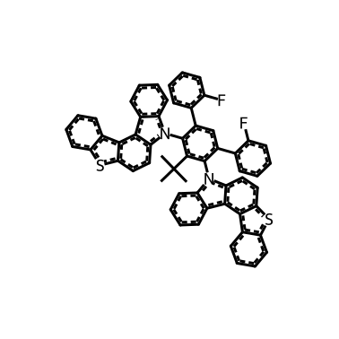 CC(C)(C)c1c(-n2c3ccccc3c3c4c(ccc32)sc2ccccc24)c(-c2ccccc2F)cc(-c2ccccc2F)c1-n1c2ccccc2c2c3c(ccc21)sc1ccccc13